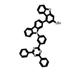 CCCCc1cc(-c2ccc3c4ccccc4n(-c4cccc(-c5nc(-c6ccccc6)nc(-c6ccccc6)n5)c4)c3c2)c2c(c1)oc1ccccc12